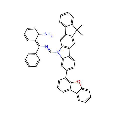 CC1(C)c2ccccc2-c2cc3c(cc21)c1ccc(-c2cccc4c2oc2ccccc24)cc1n3/C=N/C(=C1/C=CC=CC1N)c1ccccc1